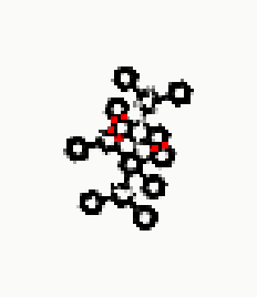 c1ccc(-c2cc(-c3cc(-c4nc(-c5ccccc5)cc(-c5ccccc5)n4)c(-c4ccccc4)c(-c4ccccc4)c3N3c4ccccc4N(c4nc(-c5ccccc5)nc(-c5ccccc5)n4)c4ccccc43)nc(-c3ccccc3)n2)cc1